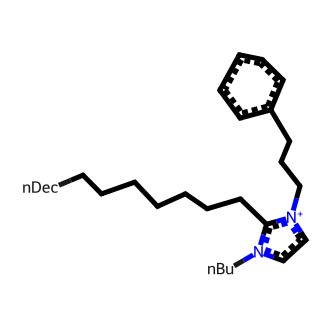 CCCCCCCCCCCCCCCCCc1n(CCCC)cc[n+]1CCCc1ccccc1